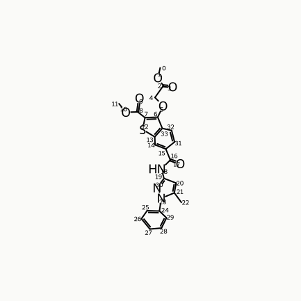 COC(=O)COc1c(C(=O)OC)sc2cc(C(=O)Nc3cc(C)n(-c4ccccc4)n3)ccc12